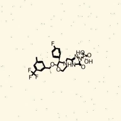 Cc1cc([C@@H](C)O[C@@H]2OCCN(Cc3nn(P(=O)(O)O)c(=O)[nH]3)[C@@H]2c2ccc(F)cc2)cc(C(F)(F)F)c1